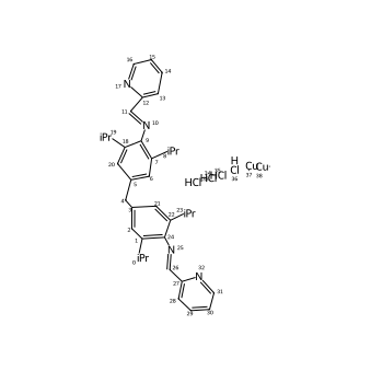 CC(C)c1cc(Cc2cc(C(C)C)c(N=Cc3ccccn3)c(C(C)C)c2)cc(C(C)C)c1N=Cc1ccccn1.Cl.Cl.Cl.Cl.[Cu].[Cu]